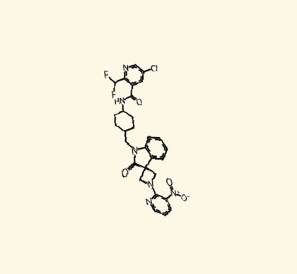 O=C(NC1CCC(CN2C(=O)C3(CN(c4ncccc4[N+](=O)[O-])C3)c3ccccc32)CC1)c1cc(Cl)cnc1C(F)F